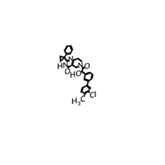 Cc1ccc(-c2cccc(C(O)C(=O)N3CCc4nc(C5(c6ccccc6)CC5)[nH]c(=O)c4C3)c2)cc1Cl